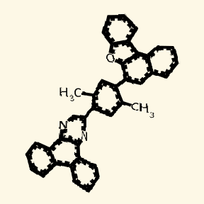 Cc1cc(-c2cc3ccccc3c3c2oc2ccccc23)c(C)cc1-c1cnc2c3ccccc3c3ccccc3c2n1